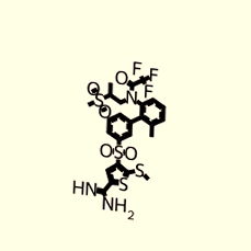 CSc1sc(C(=N)N)cc1S(=O)(=O)c1cccc(-c2c(C)cccc2N(CC(C)S(C)(=O)=O)C(=O)C(F)(F)F)c1